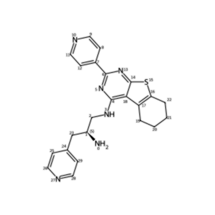 N[C@H](CNc1nc(-c2ccncc2)nc2sc3c(c12)CCCC3)Cc1ccncc1